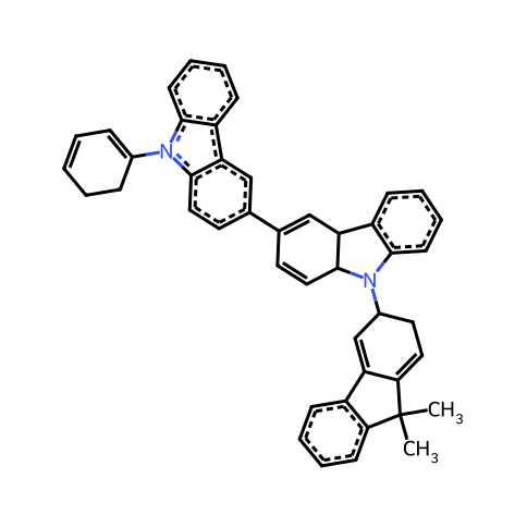 CC1(C)C2=CCC(N3c4ccccc4C4C=C(c5ccc6c(c5)c5ccccc5n6C5=CC=CCC5)C=CC43)C=C2c2ccccc21